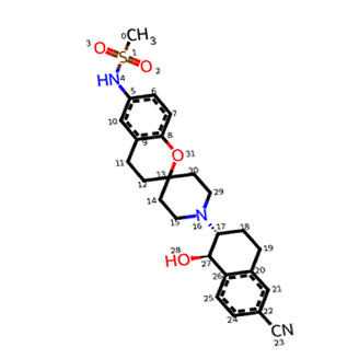 CS(=O)(=O)Nc1ccc2c(c1)CCC1(CCN([C@@H]3CCc4cc(C#N)ccc4[C@H]3O)CC1)O2